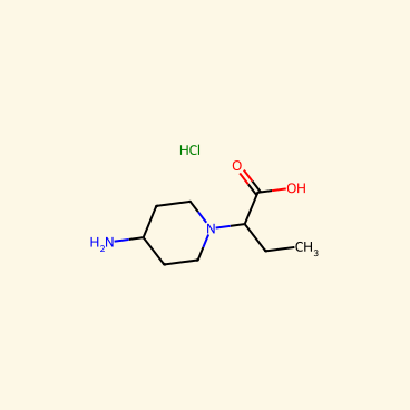 CCC(C(=O)O)N1CCC(N)CC1.Cl